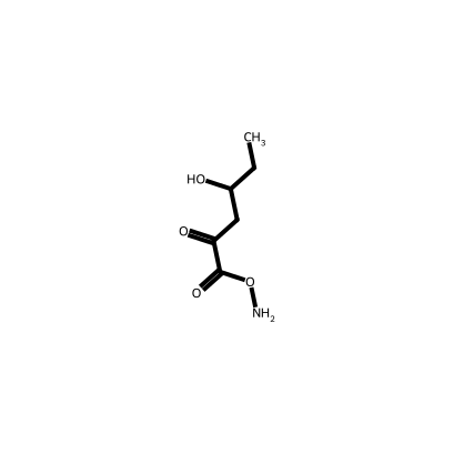 CCC(O)CC(=O)C(=O)ON